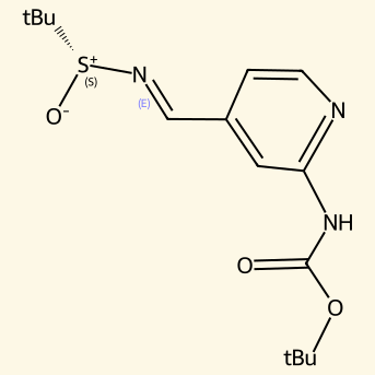 CC(C)(C)OC(=O)Nc1cc(/C=N/[S@+]([O-])C(C)(C)C)ccn1